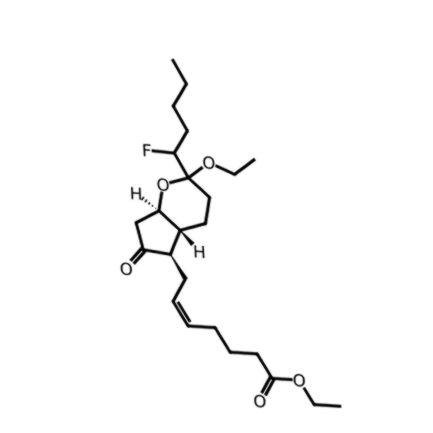 CCCCC(F)C1(OCC)CC[C@H]2[C@@H](CC(=O)[C@@H]2C/C=C\CCCC(=O)OCC)O1